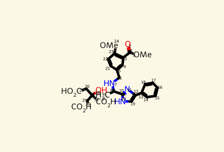 COC(=O)c1cc(CNC(C)c2nc(-c3ccccc3)c[nH]2)ccc1OC.O=C(O)CC(O)(CC(=O)O)C(=O)O